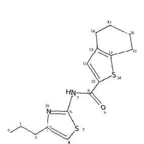 CCCc1csc(NC(=O)c2cc3c(s2)CCCC3)n1